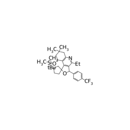 CCc1nc2c(c3c1C(c1ccc(C(F)(F)F)cc1)OC31CCCC1)C(O[Si](C)(C)C(C)(C)C)CC(C)(C)C2